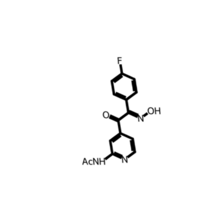 CC(=O)Nc1cc(C(=O)C(=NO)c2ccc(F)cc2)ccn1